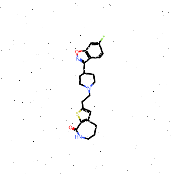 O=C1NCCCc2cc(CCN3CCC(c4noc5cc(F)ccc45)CC3)sc21